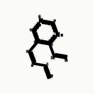 C=C/C=C\c1cncnc1C=C